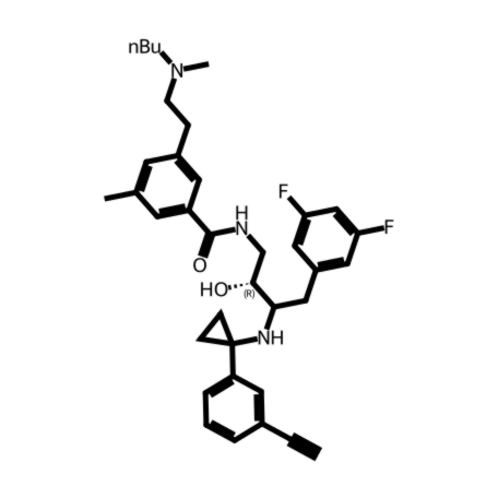 C#Cc1cccc(C2(NC(Cc3cc(F)cc(F)c3)[C@H](O)CNC(=O)c3cc(C)cc(CCN(C)CCCC)c3)CC2)c1